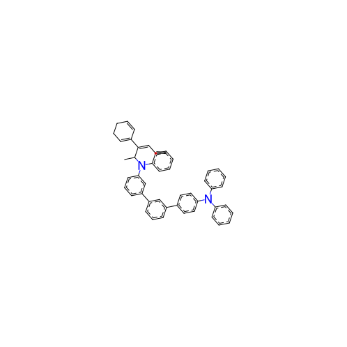 C=C/C=C(/C1=CCCC=C1)C(C)N(c1ccccc1)c1cccc(-c2cccc(-c3ccc(N(c4ccccc4)c4ccccc4)cc3)c2)c1